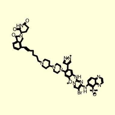 COc1cc(N2CCN(C3CCN(CCCCC#Cc4cccc5c4CN(C4CCC(=O)NC4=O)C5=O)CC3)CC2)c(-c2cnn(C)c2)cc1Nc1ncc(Br)c(Nc2ccc3nccnc3c2P(C)(C)=O)n1